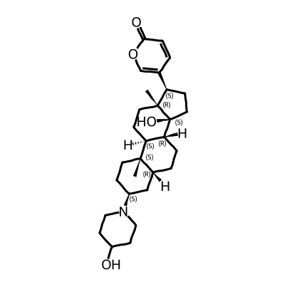 C[C@]12CC[C@H](N3CCC(O)CC3)C[C@H]1CC[C@@H]1[C@@H]2CC[C@]2(C)[C@@H](c3ccc(=O)oc3)CC[C@]12O